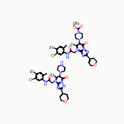 CCc1cc(C)c(NC(=O)Cn2c(CC)c(N3CCN(C(=O)OC(C)(C)C)CC3)c(=O)n3nc(C4=CCOCC4)nc23)cc1Cl.CCc1cc(C)c(NC(=O)Cn2c(CC)c(N3CCNCC3)c(=O)n3nc(C4=CCOCC4)nc23)cc1Cl